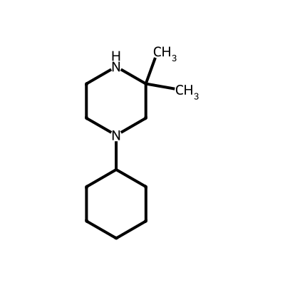 CC1(C)CN(C2CCCCC2)CCN1